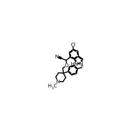 CN1CCC(COC(C#N)c2cc(Cl)cc3cn[nH]c23)(c2ccc(F)cc2)CC1